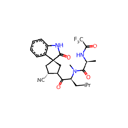 CC(C)C[C@@H](C(=O)C1C[C@]2(C[C@H]1C#N)C(=O)Nc1ccccc12)N(C)C(=O)[C@H](C)NC(=O)C(F)(F)F